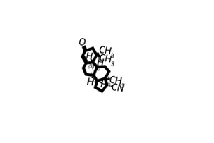 CC1(C)CC(=O)C=C2CC[C@@H]3[C@H](CC[C@]4(C)[C@H](C#N)CC[C@@H]34)[C@H]21